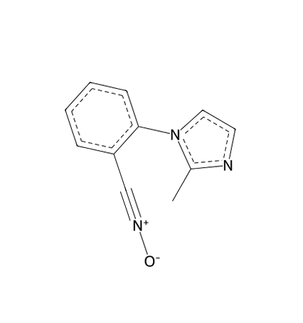 Cc1nccn1-c1ccccc1C#[N+][O-]